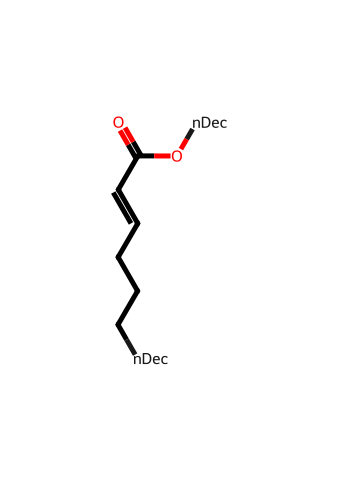 CCCCCCCCCCCCCC=CC(=O)OCCCCCCCCCC